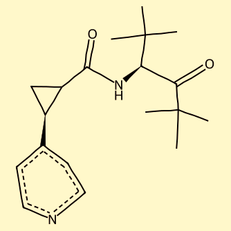 CC(C)(C)C(=O)[C@@H](NC(=O)C1C[C@@H]1c1ccncc1)C(C)(C)C